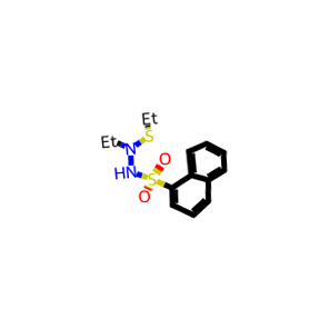 CCSN(CC)NS(=O)(=O)c1cccc2ccccc12